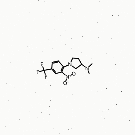 CN(C)C1CCN(c2ccc(C(F)(F)F)cc2[N+](=O)[O-])C1